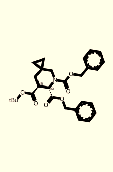 CC(C)(C)OC(=O)[C@H]1CC2(CC2)CN(C(=O)OCc2ccccc2)[C@@H]1C(=O)OCc1ccccc1